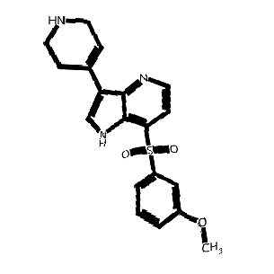 COc1cccc(S(=O)(=O)c2ccnc3c(C4=CCNCC4)c[nH]c23)c1